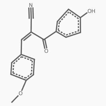 COc1ccc(C=C(C#N)C(=O)c2ccc(O)cc2)cc1